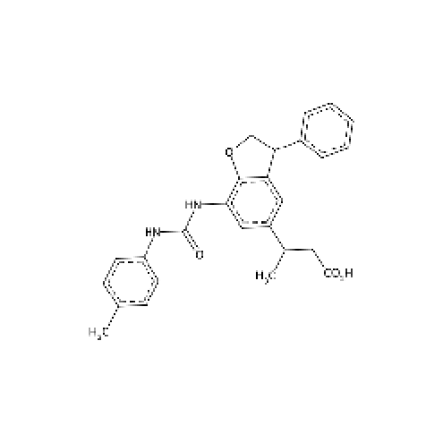 Cc1ccc(NC(=O)Nc2cc(C(C)CC(=O)O)cc3c2OCC3c2ccccc2)cc1